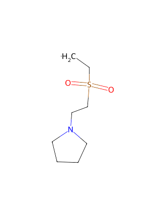 [CH2]CS(=O)(=O)CCN1CCCC1